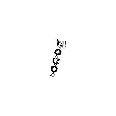 COc1ccc(N2CCN(c3ccc(-n4cc(C)[nH]c4=O)cc3)CC2)cc1